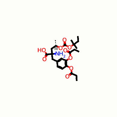 CCC(=O)Oc1ccc(CC(N)(C[C@H](C)OC(=O)OC(C)(C)CC)C(=O)O)cc1OC(=O)CC